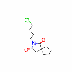 O=C1CC2(CCCC2)C(=O)N1CCCCCl